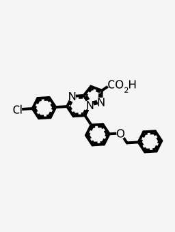 O=C(O)c1cc2nc(-c3ccc(Cl)cc3)cc(-c3cccc(OCc4ccccc4)c3)n2n1